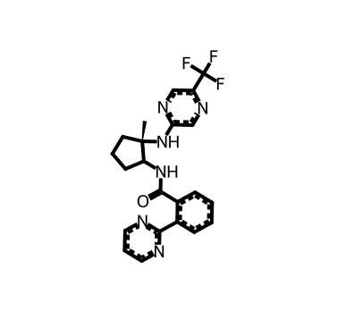 C[C@]1(Nc2cnc(C(F)(F)F)cn2)CCCC1NC(=O)c1ccccc1-c1ncccn1